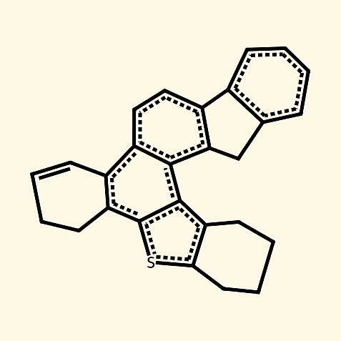 C1=Cc2c(c3sc4c(c3c3c5c(ccc23)-c2ccccc2C5)CCCC4)CC1